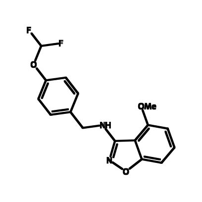 COc1cccc2onc(NCc3ccc(OC(F)F)cc3)c12